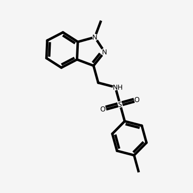 Cc1ccc(S(=O)(=O)NCc2nn(C)c3ccccc23)cc1